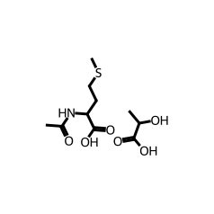 CC(O)C(=O)O.CSCCC(NC(C)=O)C(=O)O